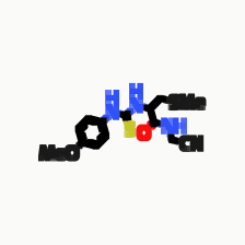 COc1ccc(NC(=S)NC(CSC)C(=O)NCC#N)cc1